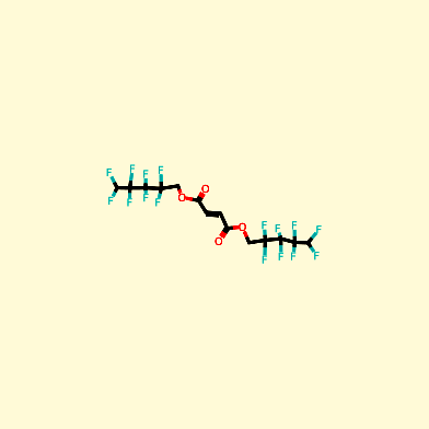 O=C(C=CC(=O)OCC(F)(F)C(F)(F)C(F)(F)C(F)F)OCC(F)(F)C(F)(F)C(F)(F)C(F)F